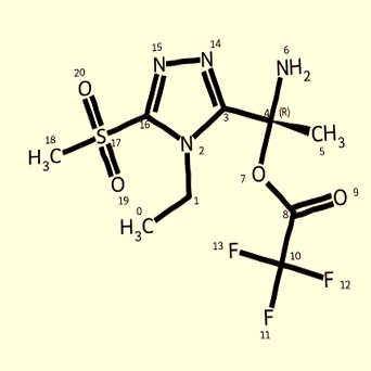 CCn1c([C@](C)(N)OC(=O)C(F)(F)F)nnc1S(C)(=O)=O